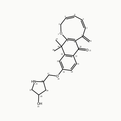 C=C1/C=C\C=C/COC2=C1C(=O)c1ccc(OCC3CC(O)CN3)cc1C2(C)C